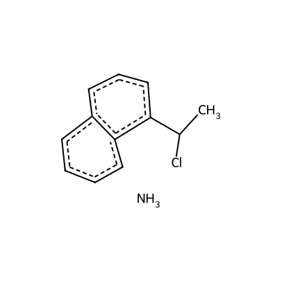 CC(Cl)c1cccc2ccccc12.N